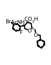 CC(=O)N[C@@]1(c2cc(Br)ccc2F)CO[C@@H](COCc2ccccc2)C[C@H]1C(=O)O